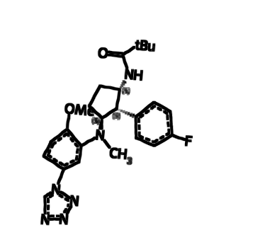 COc1ccc(-n2cnnn2)cc1N(C)[C@H]1CC[C@H](NC(=O)C(C)(C)C)[C@@H]1c1ccc(F)cc1